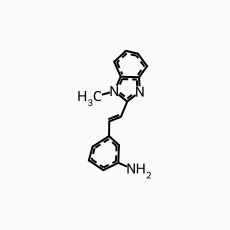 Cn1c(/C=C/c2cccc(N)c2)nc2ccccc21